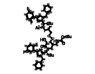 CC(=O)N(CC(C)CSSCC(CNC(=O)OC(C)(C)C)CN(C(=O)CO)[C@@H](c1nc(-c2cc(F)ccc2F)cn1Cc1ccccc1)C(C)(C)C)[C@@H](c1nc(-c2cc(F)ccc2F)cn1Cc1ccccc1)C(C)(C)C